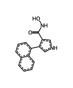 O=C(NO)c1c[nH]cc1-c1cccc2ccccc12